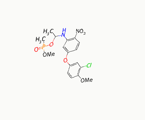 COc1ccc(Oc2ccc([N+](=O)[O-])c(NC(C)OP(C)(=O)OC)c2)cc1Cl